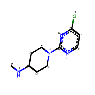 CNC1CCN(c2nccc(Cl)n2)CC1